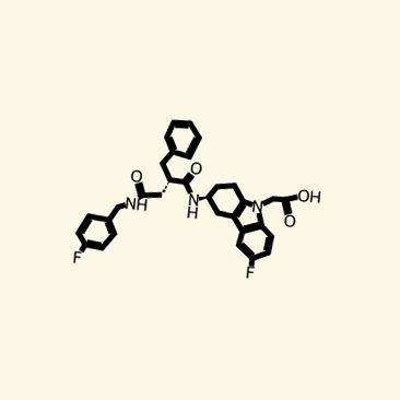 O=C(O)Cn1c2c(c3cc(F)ccc31)C[C@@H](NC(=O)[C@H](CC(=O)NCc1ccc(F)cc1)Cc1ccccc1)CC2